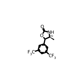 C[C@@H]1NC(=O)OC1c1cc(C(F)(F)F)cc(C(F)(F)F)c1